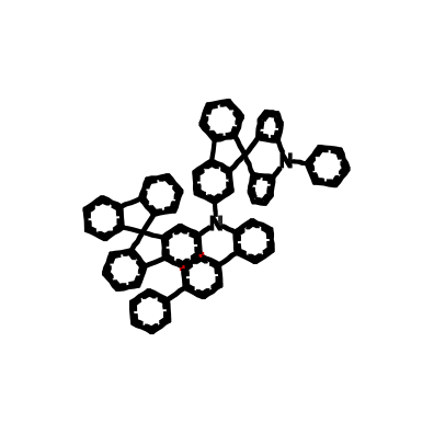 c1ccc(-c2ccc(-c3ccccc3N(c3ccc4c(c3)C3(c5ccccc5-c5ccccc53)c3ccccc3-4)c3ccc4c(c3)C3(c5ccccc5-4)c4ccccc4N(c4ccccc4)c4ccccc43)cc2)cc1